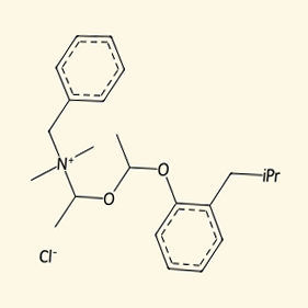 CC(C)Cc1ccccc1OC(C)OC(C)[N+](C)(C)Cc1ccccc1.[Cl-]